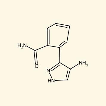 NC(=O)c1ccccc1-c1n[nH]cc1N